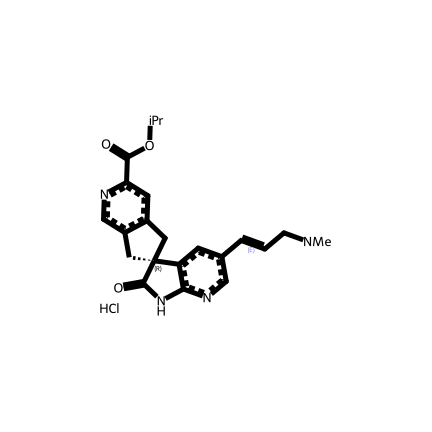 CNC/C=C/c1cnc2c(c1)[C@@]1(Cc3cnc(C(=O)OC(C)C)cc3C1)C(=O)N2.Cl